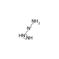 NCCC[N]CCC1CNCCN1